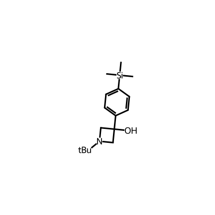 CC(C)(C)N1CC(O)(c2ccc([Si](C)(C)C)cc2)C1